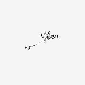 CCCCCCCCCCCCCCCCCC(=O)OCc1cc(OC)c(C/C=C(\C)CC(=O)C=C(C)C)c(O)c1C=O